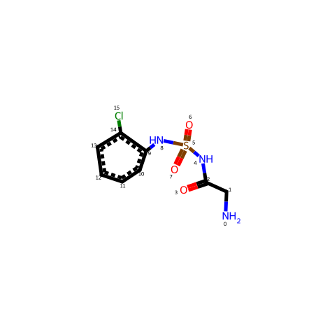 NCC(=O)NS(=O)(=O)Nc1ccccc1Cl